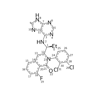 CC[C@H](Nc1ncnc2[nH]cnc12)c1cc2cccc(F)c2c(=O)n1-c1cccc(Cl)c1Cl